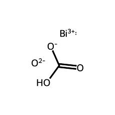 O=C([O-])O.[Bi+3].[O-2]